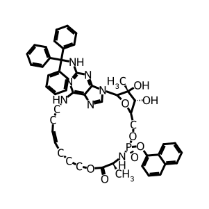 C[C@@H]1NP(=O)(Oc2cccc3ccccc23)OCC2OC(n3cnc4c(nc(NC(c5ccccc5)(c5ccccc5)c5ccccc5)nc43)NCCC=CCCCOC1=O)[C@](C)(O)[C@@H]2O